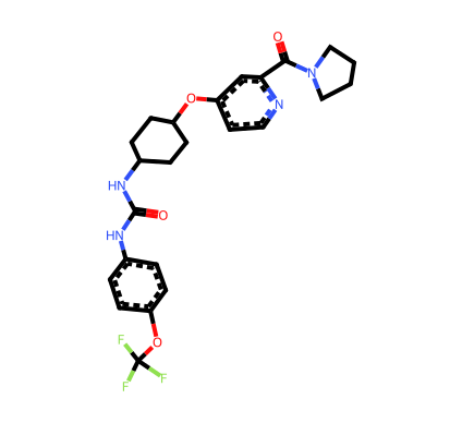 O=C(Nc1ccc(OC(F)(F)F)cc1)NC1CCC(Oc2ccnc(C(=O)N3CCCC3)c2)CC1